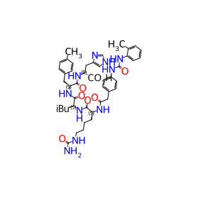 CCC(C)[C@H](NC(=O)[C@H](CCCCNC(N)=O)NC(=O)Cc1ccc(NC(=O)Nc2ccccc2C)cc1)C(=O)N[C@@H](Cc1ccc(C)cc1)C(=O)N[C@H](Cc1c[nH]cn1)C(=O)O